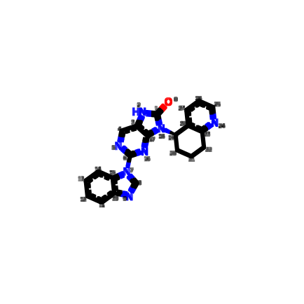 O=c1[nH]c2cnc(-n3cnc4ccccc43)nc2n1[C@@H]1CCCc2ncccc21